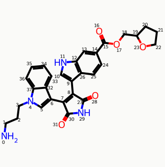 NCCCn1cc(C2=C(c3c[nH]c4cc(C(=O)OCC5CCCO5)ccc34)C(=O)NC2=O)c2ccccc21